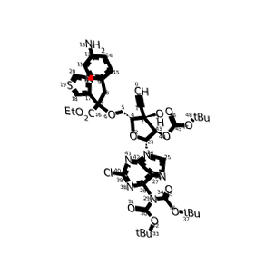 C#C[C@@]1(O)[C@@H](COC(Cc2ccc(N)cc2)(C(=O)OCC)c2cscn2)O[C@@H](n2cnc3c(N(C(=O)OC(C)(C)C)C(=O)OC(C)(C)C)nc(Cl)nc32)[C@@H]1OC(=O)OC(C)(C)C